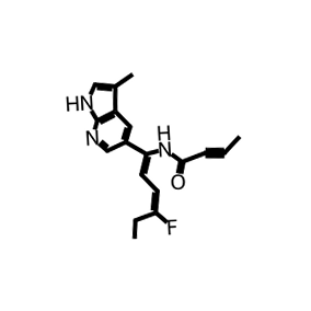 CC#CC(=O)N/C(=C\C=C(\F)CC)c1cnc2[nH]cc(C)c2c1